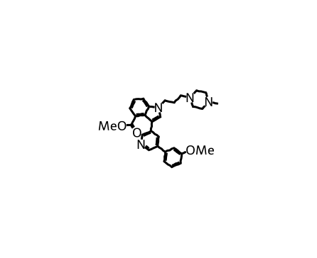 COC(=O)c1cccc2c1c(-c1cncc(-c3cccc(OC)c3)c1)cn2CCCN1CCN(C)CC1